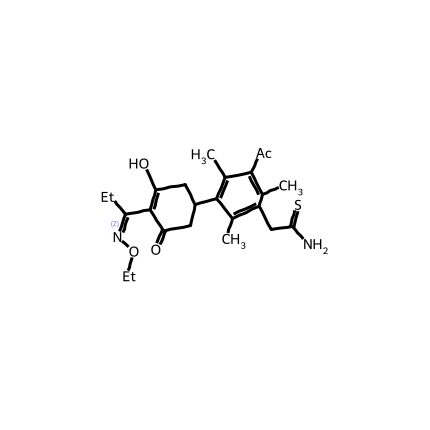 CCO/N=C(/CC)C1=C(O)CC(c2c(C)c(CC(N)=S)c(C)c(C(C)=O)c2C)CC1=O